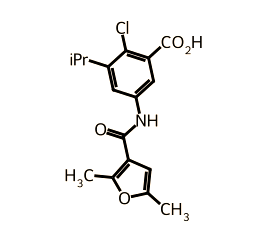 Cc1cc(C(=O)Nc2cc(C(=O)O)c(Cl)c(C(C)C)c2)c(C)o1